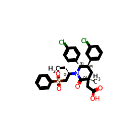 CC[C@@H](CS(=O)(=O)c1ccccc1)N1C(=O)[C@](C)(CC(=O)O)C[C@H](c2cccc(Cl)c2)[C@H]1c1ccc(Cl)cc1